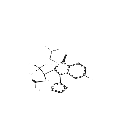 CC(C)Cn1c(C(NC(=O)O)C(C)(C)C)c(-c2cccs2)c2cc(O)ccc2c1=O